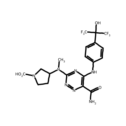 CN(c1nnc(C(N)=O)c(Nc2ccc(C(O)(C(F)(F)F)C(F)(F)F)cc2)n1)C1CCN(C(=O)O)C1